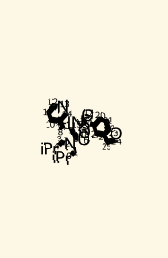 CC(C)CN(CC(C)C)C(=O)[C@H](Cc1cccnc1)NS(=O)(=O)c1ccc2occc2c1